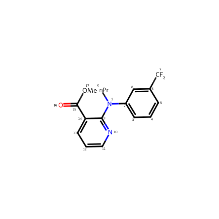 CCCN(c1cccc(C(F)(F)F)c1)c1ncccc1C(=O)OC